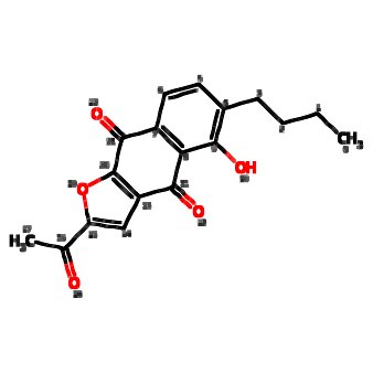 CCCCc1ccc2c(c1O)C(=O)c1cc(C(C)=O)oc1C2=O